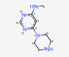 CNc1cc(N2CCNCC2)ncn1